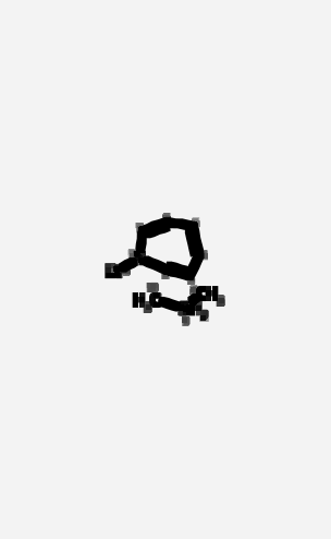 CCN1C=CC=CC=C1.C[SiH2]C